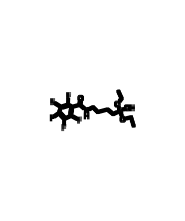 CCO[Si](O)(CCCCNC(=O)c1c(F)c(F)c(F)c(F)c1F)OCC